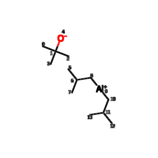 CC(C)(C)[O-].CC(C)[CH2][Al+][CH2]C(C)C